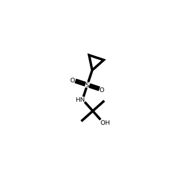 CC(C)(O)NS(=O)(=O)C1CC1